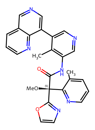 CO[C@](C(=O)Nc1cncc(-c2cncc3cccnc23)c1C)(c1ncco1)c1ncccc1C